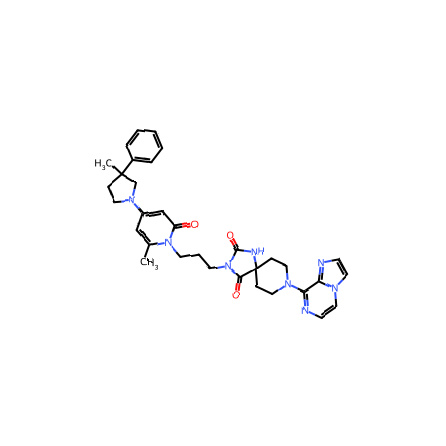 Cc1cc(N2CCC(C)(c3ccccc3)C2)cc(=O)n1CCCN1C(=O)NC2(CCN(c3nccn4ccnc34)CC2)C1=O